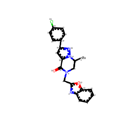 CCCCC1CN(Cc2nc3ccccc3o2)C(=O)c2cc(-c3ccc(Cl)cc3)nn21